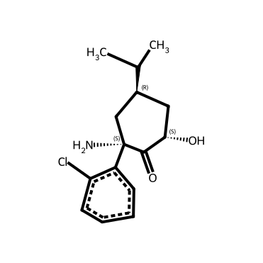 CC(C)[C@H]1C[C@H](O)C(=O)[C@@](N)(c2ccccc2Cl)C1